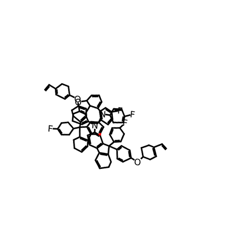 C=CC1=CC=C(OC2=CC=C(C3(C4CC=C(F)CC4)C4=C(C=CCC4)c4ccc(N(C5=CC=CC6OC7=C(C(N(c8ccc(F)cc8)c8ccc9c(c8)C(C8=CCC(F)C=C8)(c8ccc(OC%10CC=C(C=C)CC%10)cc8)C8=C9C=CCC8)=CCC7)C56)C5C=CC(F)=CC5)cc43)CC2)CC1